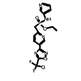 CCOP(=O)(Cc1ccc(-c2noc(C(F)(F)Cl)n2)cn1)Nc1cccnc1